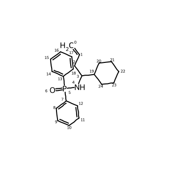 C=CCC(NP(=O)(c1ccccc1)c1ccccc1)C1CCCCC1